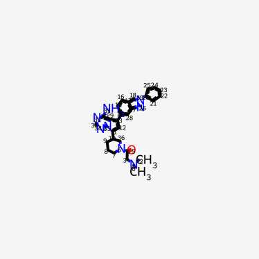 CN(C)CC(=O)N1CCCC(c2cc(-c3ccc4cn(-c5ccccc5)nc4c3)c3c(N)ncnn23)C1